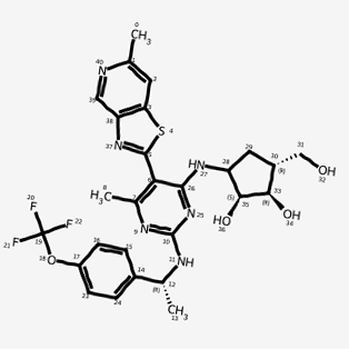 Cc1cc2sc(-c3c(C)nc(N[C@H](C)c4ccc(OC(F)(F)F)cc4)nc3NC3C[C@H](CO)[C@@H](O)[C@H]3O)nc2cn1